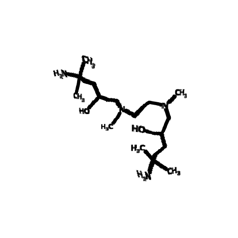 CN(CCN(C)CC(O)CC(C)(C)N)CC(O)CC(C)(C)N